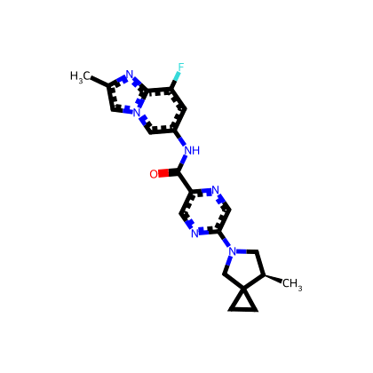 Cc1cn2cc(NC(=O)c3cnc(N4C[C@@H](C)C5(CC5)C4)cn3)cc(F)c2n1